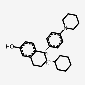 Oc1ccc2c(c1)CC[C@@H](C1CCCCC1)[C@H]2c1ccc(N2CCCCC2)cc1